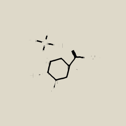 COC(=O)[C@@]1(O)C[C@@H](C)[C@H](O)[C@H](O[Si](C)(C)C(C)(C)C)C1